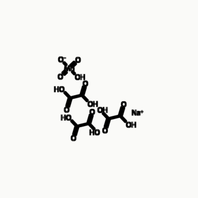 O=C(O)C(=O)O.O=C(O)C(=O)O.O=C(O)C(=O)O.[Na+].[O]=[Mn](=[O])([O-])[OH]